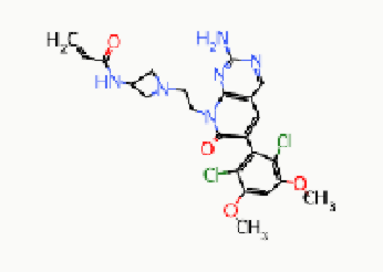 C=CC(=O)NC1CN(CCn2c(=O)c(-c3c(Cl)c(OC)cc(OC)c3Cl)cc3cnc(N)nc32)C1